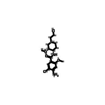 COc1cc(N)c(Cl)cc1C(=O)N[C@H]1CCN(CCCl)C[C@H]1OC